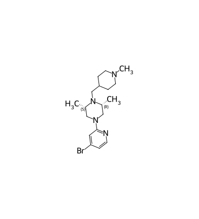 C[C@@H]1CN(c2cc(Br)ccn2)C[C@H](C)N1CC1CCN(C)CC1